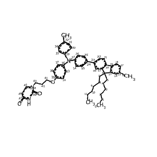 CCCCCCC1(CCCCCC)c2cc(C)ccc2-c2ccc(-c3ccc(N(c4ccc(C)cc4)c4ccc(OCCCn5ccc(=O)[nH]c5=O)cc4)cc3)cc21